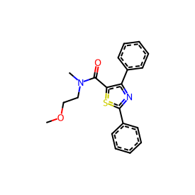 COCCN(C)C(=O)c1sc(-c2ccccc2)nc1-c1ccccc1